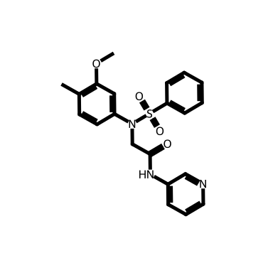 COc1cc(N(CC(=O)Nc2cccnc2)S(=O)(=O)c2ccccc2)ccc1C